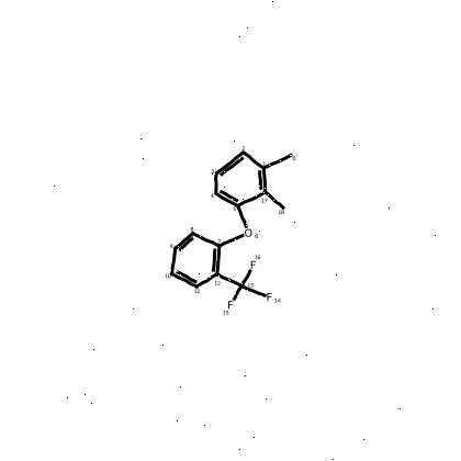 Cc1cccc(Oc2[c]cccc2C(F)(F)F)c1C